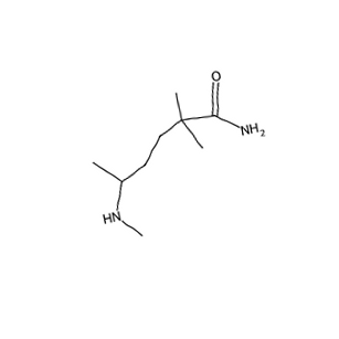 CNC(C)CCC(C)(C)C(N)=O